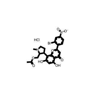 CC(=O)OCC1C(c2c(O)cc(O)c3c(=O)cc(-c4ccc([N+](=O)[O-])cc4Br)oc23)CCN1C.Cl